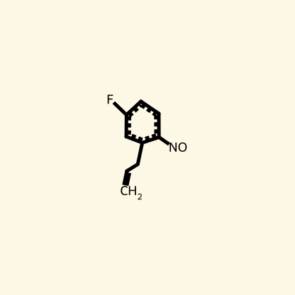 C=CCc1cc(F)ccc1N=O